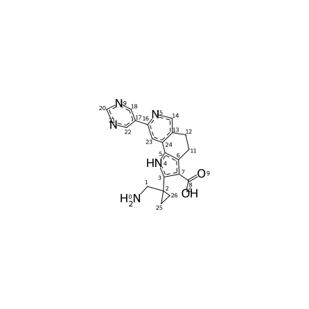 NCC1(c2[nH]c3c(c2C(=O)O)CCc2cnc(-c4cncnc4)cc2-3)CC1